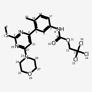 CSc1nc(-c2cc(NC(=O)OCC(Cl)(Cl)Cl)ccc2C)cc(N2CCOCC2)n1